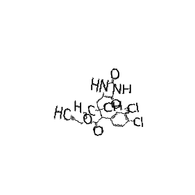 C#CCOC(=O)C(c1ccc(Cl)c(Cl)c1)C(C)(C)CC1NC(=O)NC1=O